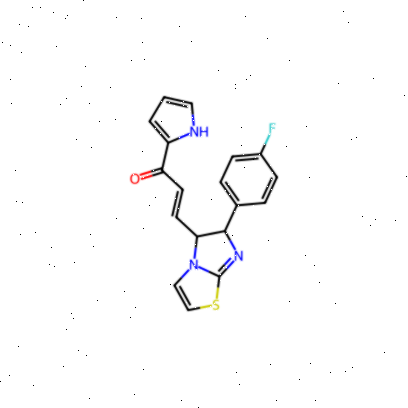 O=C(/C=C/C1C(c2ccc(F)cc2)N=C2SC=CN21)c1ccc[nH]1